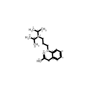 CC(C)N(CCCOc1ccccc1CC(=O)O)C(C)C